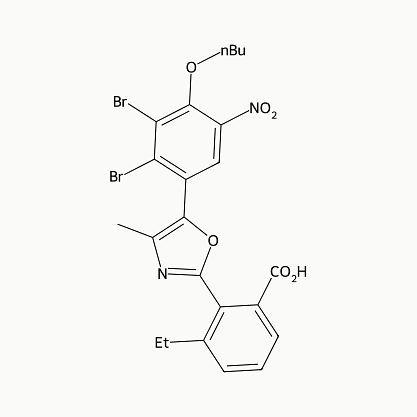 CCCCOc1c([N+](=O)[O-])cc(-c2oc(-c3c(CC)cccc3C(=O)O)nc2C)c(Br)c1Br